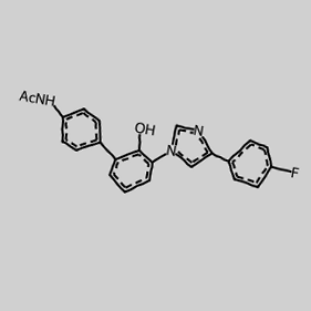 CC(=O)Nc1ccc(-c2cccc(-n3cnc(-c4ccc(F)cc4)c3)c2O)cc1